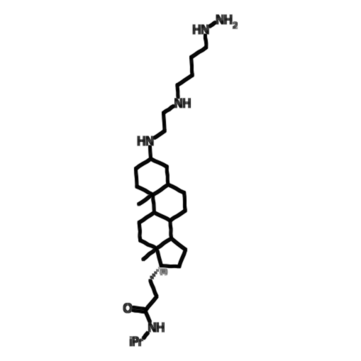 CC(C)NC(=O)CC[C@H]1CCC2C3CCC4CC(NCCNCCCCNN)CCC4(C)C3CCC21C